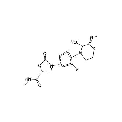 CN=C1SCCN(c2ccc(N3C[C@H](C(=O)NC)OC3=O)cc2F)C1O